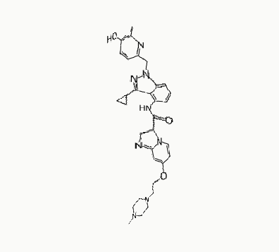 Cc1nc(Cn2nc(C3CC3)c3c(NC(=O)C4CN=C5C=C(OCCN6CCN(C)CC6)C=CN54)cccc32)ccc1O